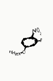 CCCCCCOc1ccc([N+](=O)[O-])c(F)c1